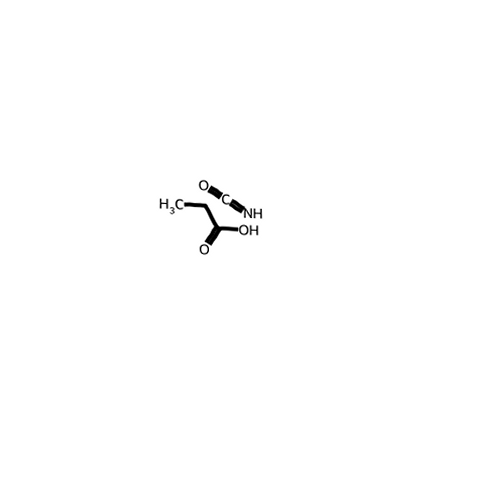 CCC(=O)O.N=C=O